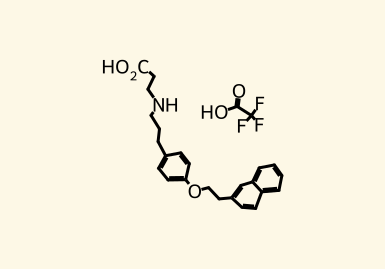 O=C(O)C(F)(F)F.O=C(O)CCNCCCc1ccc(OCCc2ccc3ccccc3c2)cc1